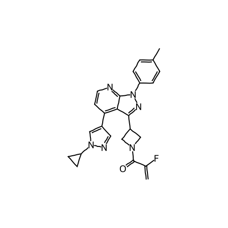 C=C(F)C(=O)N1CC(c2nn(-c3ccc(C)cc3)c3nccc(-c4cnn(C5CC5)c4)c23)C1